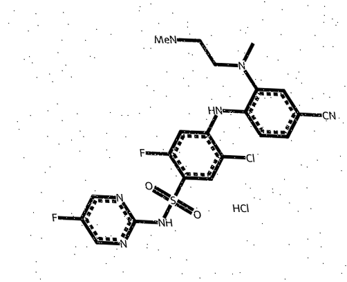 CNCCN(C)c1cc(C#N)ccc1Nc1cc(F)c(S(=O)(=O)Nc2ncc(F)cn2)cc1Cl.Cl